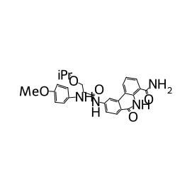 COc1ccc(NC(COC(C)C)C(=O)Nc2ccc3c(=O)[nH]c4c(C(N)=O)cccc4c3c2)cc1